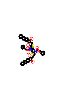 O=C1C(=Cc2cc3c(s2)c2c(c4sc(C=C5C(=O)c6cc7cc8ccccc8cc7cc6C5=O)cc4n2C(=O)OCc2ccccc2)n3C(=O)OCc2ccccc2)C(=O)c2cc3cc4ccccc4cc3cc21